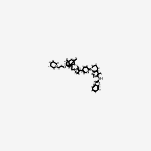 Cc1c(Nc2nc3ccccc3s2)nnc2c1CCCN2c1ccc(-c2cnn(CC34CC5(C)CC(C)(C3)CC(OCCN3CCCCC3)(C5)C4)c2C)cn1